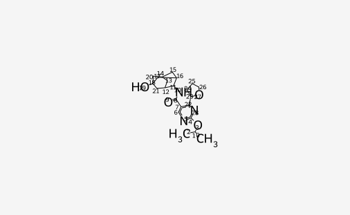 CC(C)Oc1ncc(C(=O)NC2C3CC4CC2CC(O)(C4)C3)c([C@H]2CCCO2)n1